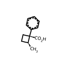 C[C@H]1CC[C@]1(C(=O)O)c1ccccc1